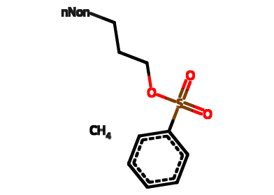 C.CCCCCCCCCCCCOS(=O)(=O)c1ccccc1